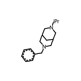 CC(C)N1CC2CC(CN(Cc3ccccc3)C2)C1